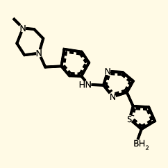 Bc1ccc(-c2ccnc(Nc3cccc(CN4CCN(C)CC4)c3)n2)s1